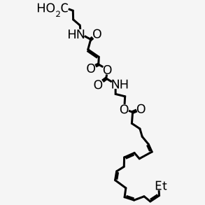 CC/C=C\C/C=C\C/C=C\C/C=C\C/C=C\CCCC(=O)OCCNC(=O)OC(=O)/C=C/C(=O)NCCCC(=O)O